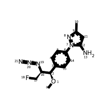 CO[C@H](c1ccc(-n2nc(C)cc2N)cc1)[C@@H](CF)N=[N+]=[N-]